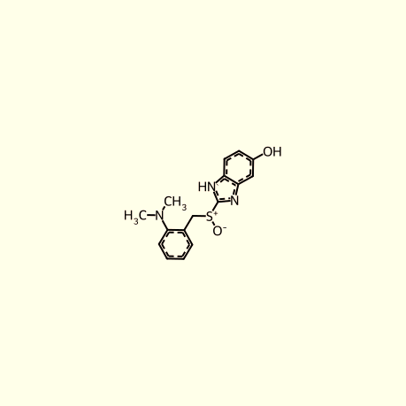 CN(C)c1ccccc1C[S+]([O-])c1nc2cc(O)ccc2[nH]1